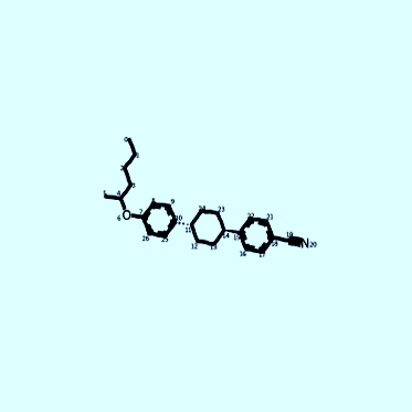 CCCCC(C)Oc1ccc([C@H]2CC[C@H](c3ccc(C#N)cc3)CC2)cc1